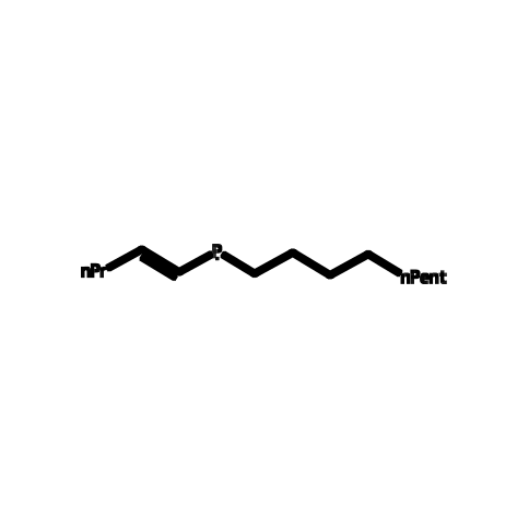 CCC/C=C/[P]CCCCCCCCC